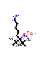 CCCCC(C)(CCCC)C(N)(CCCCCN)C(C)(CCCC)CCCC.O.O